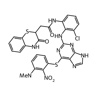 CNc1cccc(Sc2nc(Nc3c(Cl)cccc3NC(=O)CC3Sc4ccccc4NC3=O)nc3[nH]cnc23)c1[N+](=O)[O-]